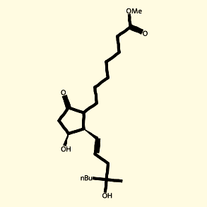 CCCCC(C)(O)C/C=C/[C@@H]1C(CCCCCCC(=O)OC)C(=O)C[C@@H]1O